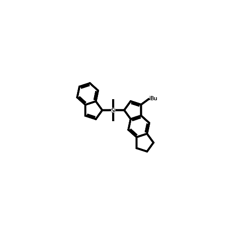 CCC(C)C1=CC([Si](C)(C)C2C=Cc3ccccc32)c2cc3c(cc21)CCC3